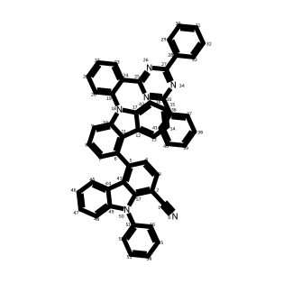 N#Cc1ccc(-c2cccc3c2c2ccccc2n3-c2ccccc2-c2nc(-c3ccccc3)nc(-c3ccccc3)n2)c2c3ccccc3n(-c3ccccc3)c12